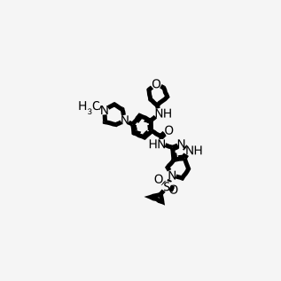 CN1CCN(c2ccc(C(=O)Nc3n[nH]c4c3CN(S(=O)(=O)C3CC3)CC4)c(NC3CCOCC3)c2)CC1